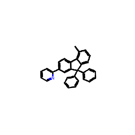 Cc1cccc2c1-c1ccc(-c3ccccn3)cc1C2(c1ccccc1)c1ccccc1